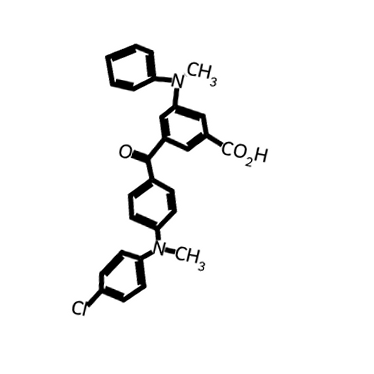 CN(c1ccc(Cl)cc1)c1ccc(C(=O)c2cc(C(=O)O)cc(N(C)c3ccccc3)c2)cc1